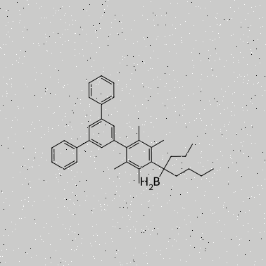 BC(CCC)(CCCC)c1c(C)c(C)c(-c2cc(-c3ccccc3)cc(-c3ccccc3)c2)c(C)c1C